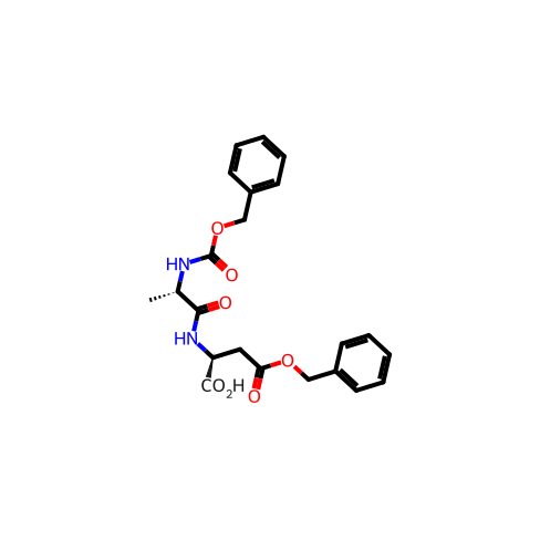 C[C@H](NC(=O)OCc1ccccc1)C(=O)N[C@@H](CC(=O)OCc1ccccc1)C(=O)O